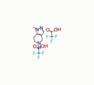 Cn1ncc2c1CCNC2.O=C(O)C(F)(F)F.O=C(O)C(F)(F)F